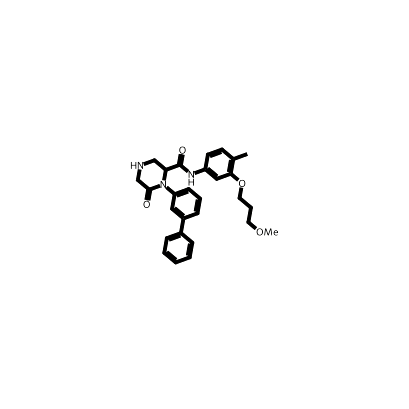 COCCCOc1cc(NC(=O)C2CNCC(=O)N2c2cccc(-c3ccccc3)c2)ccc1C